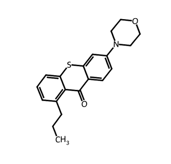 CCCc1cccc2sc3cc(N4CCOCC4)ccc3c(=O)c12